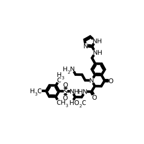 Cc1cc(C)c(S(=O)(=O)NC(CNC(=O)C2CC(=O)c3ccc(CNc4ncc[nH]4)cc3N2CCCN)C(=O)O)c(C)c1